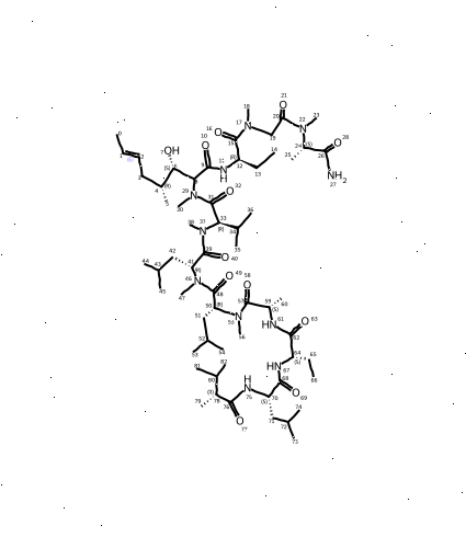 C/C=C/C[C@@H](C)[C@H](O)C(C(=O)N[C@H](CC)C(=O)N(C)CC(=O)N(C)[C@@H](C)C(N)=O)N(C)C(=O)[C@@H](C(C)C)N(C)C(=O)[C@@H](CC(C)C)N(C)C(=O)[C@@H](CC(C)C)N(C)C(=O)[C@H](C)NC(=O)[C@H](CC)NC(=O)[C@H](CC(C)C)NC(=O)[C@H](C)C(C)C